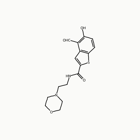 O=Cc1c(O)ccc2sc(C(=O)NCCN3CCOCC3)cc12